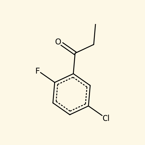 CCC(=O)c1cc(Cl)ccc1F